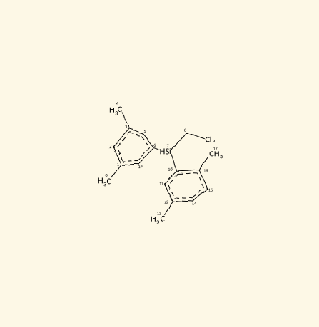 Cc1cc(C)cc([SiH](CCl)c2cc(C)ccc2C)c1